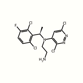 C[C@H](c1c(Cl)ccc(F)c1Cl)N(CCN)c1cc(Cl)nnc1Cl